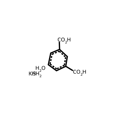 O.O=C(O)c1cccc(C(=O)O)c1.S.[KH]